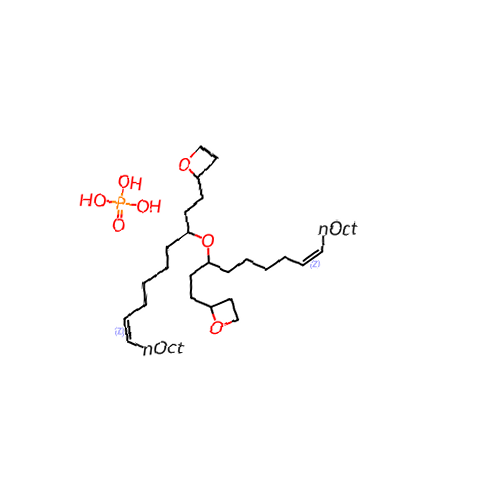 CCCCCCCC/C=C\CCCCC(CCC1CCO1)OC(CCCC/C=C\CCCCCCCC)CCC1CCO1.O=P(O)(O)O